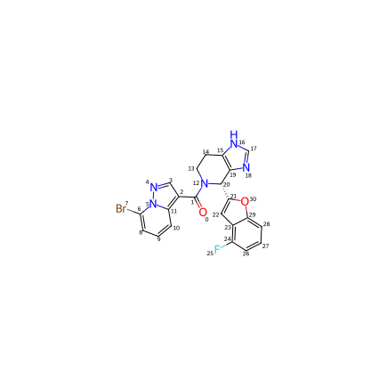 O=C(c1cnn2c(Br)cccc12)N1CCc2[nH]cnc2[C@@H]1c1cc2c(F)cccc2o1